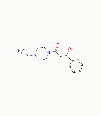 CCN1CCN(C(=O)CC(O)c2ccccc2)CC1